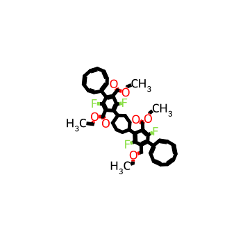 CCOCc1c(F)c(C2CCCC(c3c(F)c(C(=O)OCC)c(-c4ccccccccc4)c(F)c3C(=O)OCC)CC2)c(C(=O)OCC)c(F)c1-c1ccccccccc1